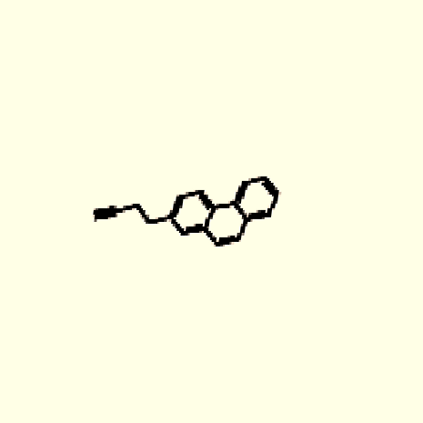 C#CCCc1ccc2c(ccc3ccccc32)c1